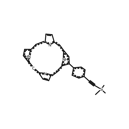 C[Si](C)(C)C#Cc1ccc(-c2cc3cc4nc(cc5ccc(cc6nc(cc2[nH]3)C=C6)[nH]5)C=C4)cc1